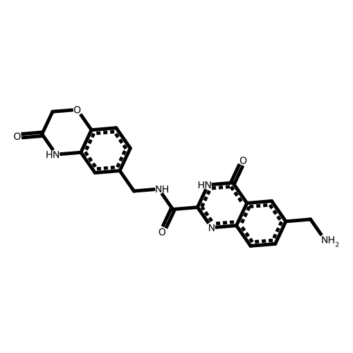 NCc1ccc2nc(C(=O)NCc3ccc4c(c3)NC(=O)CO4)[nH]c(=O)c2c1